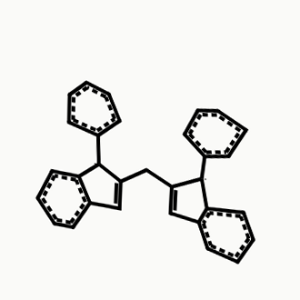 C1=C(CC2=Cc3ccccc3[C]2c2ccccc2)[C](c2ccccc2)c2ccccc21